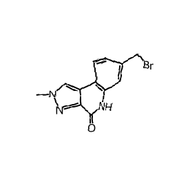 Cn1cc2c(n1)c(=O)[nH]c1cc(CBr)ccc12